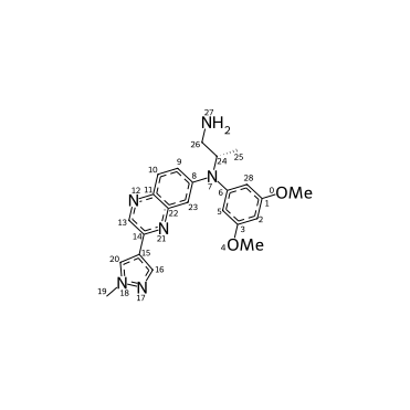 COc1cc(OC)cc(N(c2ccc3ncc(-c4cnn(C)c4)nc3c2)[C@@H](C)CN)c1